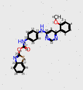 COc1ccccc1-c1cc(Nc2ccc(NC(=O)Oc3nc4ccccc4s3)cc2)ncn1